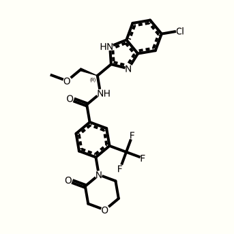 COC[C@H](NC(=O)c1ccc(N2CCOCC2=O)c(C(F)(F)F)c1)c1nc2cc(Cl)ccc2[nH]1